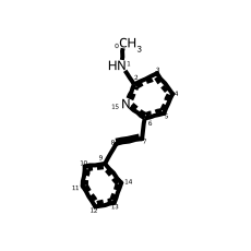 CNc1cccc(C=Cc2ccccc2)n1